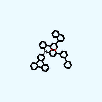 c1ccc(-c2cccc(-c3ccc(N(c4ccc5c6ccccc6c6ccccc6c5c4)c4ccccc4-c4cccc(-c5cccc6ccccc56)c4)cc3)c2)cc1